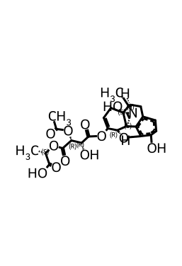 CC(=O)O[C@@H](C(=O)O[C@@H](C)C(=O)O)[C@@H](O)C(=O)OC1=CC[C@@]2(O)[C@H]3Cc4ccc(O)c5c4[C@@]2(CCN3C)[C@H]1O5